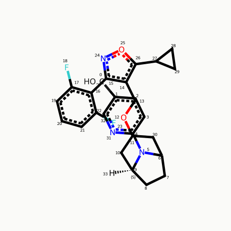 O=C(O)c1ccc(N2C3CC[C@H]2CC(OCc2c(-c4c(F)cccc4F)noc2C2CC2)C3)nc1